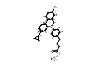 COC(=O)CCCc1ccc(OCc2cc(F)ccc2-c2ccc(C3CC3)cc2)cc1